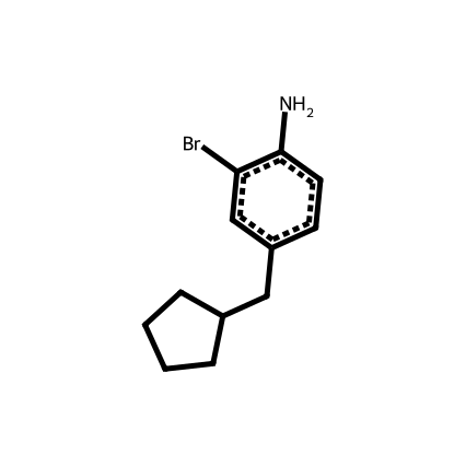 Nc1ccc(CC2CCCC2)cc1Br